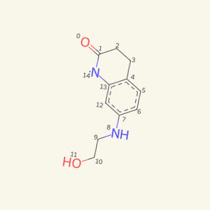 O=C1CCc2ccc(NCCO)cc2[N]1